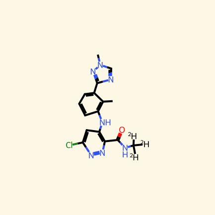 [2H]C([2H])([2H])NC(=O)c1nnc(Cl)cc1Nc1cccc(-c2ncn(C)n2)c1C